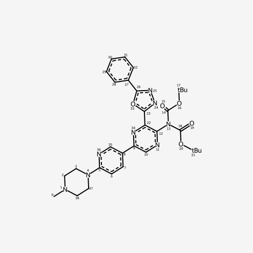 CN1CCN(c2ccc(-c3cnc(N(C(=O)OC(C)(C)C)C(=O)OC(C)(C)C)c(-c4nnc(-c5ccccc5)o4)n3)cn2)CC1